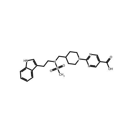 CS(=O)(=O)N(CCc1c[nH]c2ccccc12)CC1CCN(c2ncc(C(=O)O)cn2)CC1